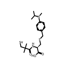 CC(C)N(C)c1ccc(CSC[C@H](NC(=O)C(C)(C)CS)C(=O)O)cc1